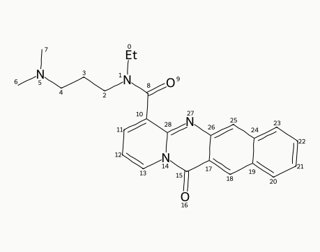 CCN(CCCN(C)C)C(=O)c1cccn2c(=O)c3cc4ccccc4cc3nc12